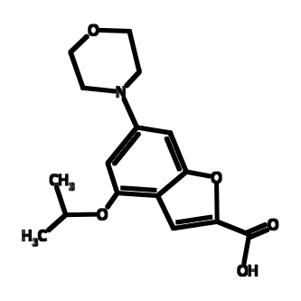 CC(C)Oc1cc(N2CCOCC2)cc2oc(C(=O)O)cc12